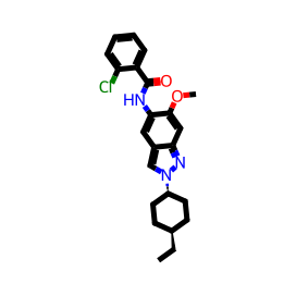 CC[C@H]1CC[C@H](n2cc3cc(NC(=O)c4ccccc4Cl)c(OC)cc3n2)CC1